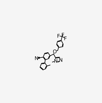 Cc1ccccc1-c1cc(C(OCc2ccc(C(F)(F)F)cc2)c2cncn2C)ccc1C#N